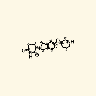 O=C1CCC(N2Cc3ccc(O[C@H]4CCCNC4)cc3C2)C(=O)N1